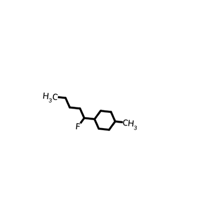 CCCCC(F)C1CCC(C)CC1